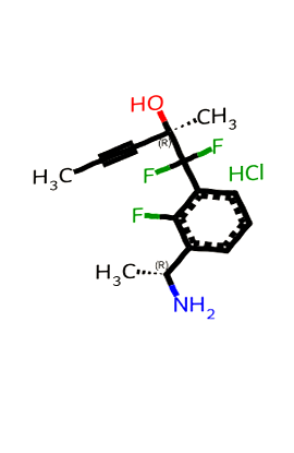 CC#C[C@@](C)(O)C(F)(F)c1cccc([C@@H](C)N)c1F.Cl